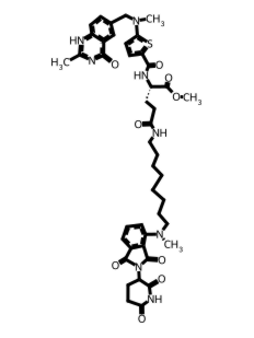 COC(=O)[C@H](CCC(=O)NCCCCCCCCN(C)c1cccc2c1C(=O)N(C1CCC(=O)NC1=O)C2=O)NC(=O)c1ccc(N(C)Cc2ccc3[nH]c(C)nc(=O)c3c2)s1